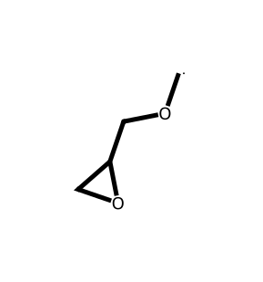 [CH2]OCC1CO1